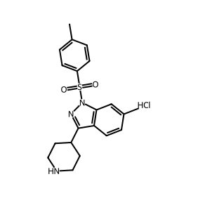 Cc1ccc(S(=O)(=O)n2nc(C3CCNCC3)c3ccc(C)cc32)cc1.Cl